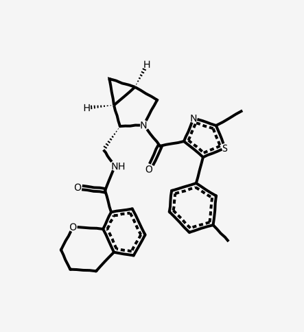 Cc1cccc(-c2sc(C)nc2C(=O)N2C[C@@H]3C[C@@H]3[C@H]2CNC(=O)c2cccc3c2OCCC3)c1